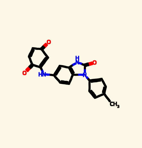 Cc1ccc(-n2c(=O)[nH]c3cc(NC4=CC(=O)C=CC4=O)ccc32)cc1